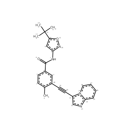 Cc1ccc(C(=O)Nc2cc(C(C)(C)C)on2)cc1C#Cc1cnc2ccccn12